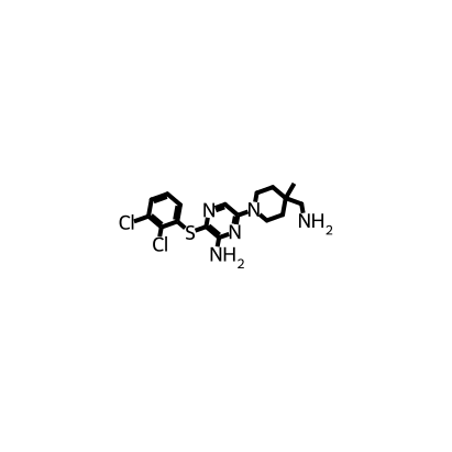 CC1(CN)CCN(c2cnc(Sc3cccc(Cl)c3Cl)c(N)n2)CC1